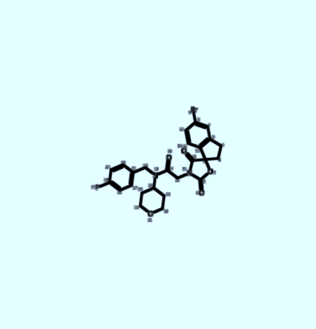 O=C1OC2(CCc3cc(Br)ccc32)C(=O)N1CC(=O)N(Cc1ccc(F)cc1)C1CCOCC1